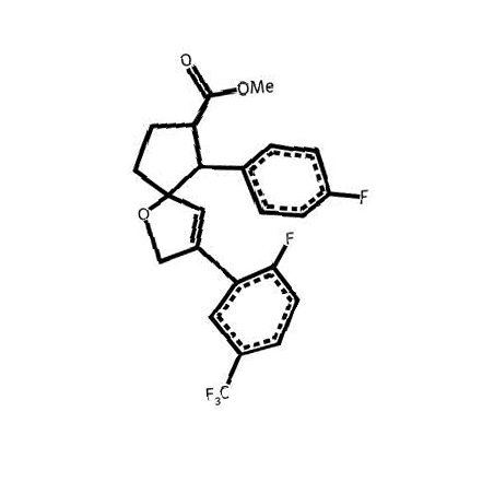 COC(=O)C1CCC2(C=C(c3cc(C(F)(F)F)ccc3F)CO2)C1c1ccc(F)cc1